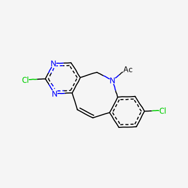 CC(=O)N1Cc2cnc(Cl)nc2C=Cc2ccc(Cl)cc21